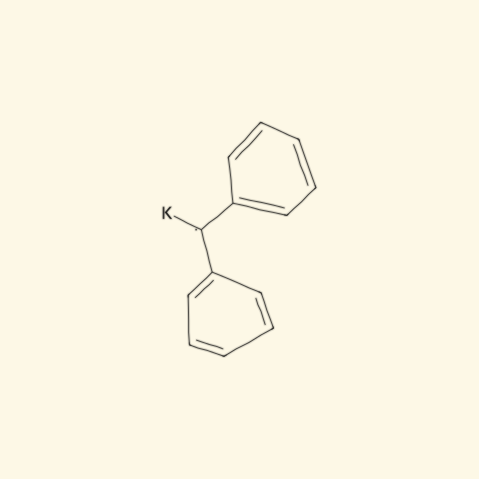 [K][C](c1ccccc1)c1ccccc1